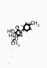 CCOC1=NN(c2ccc(C)cc2)C(=O)C1(O)O